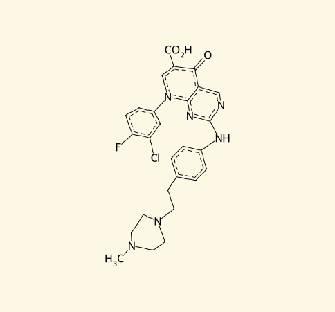 CN1CCN(CCc2ccc(Nc3ncc4c(=O)c(C(=O)O)cn(-c5ccc(F)c(Cl)c5)c4n3)cc2)CC1